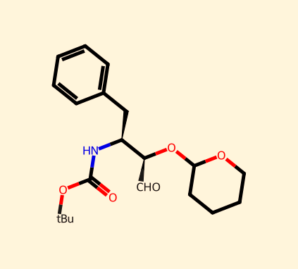 CC(C)(C)OC(=O)N[C@@H](Cc1ccccc1)[C@H](C=O)OC1CCCCO1